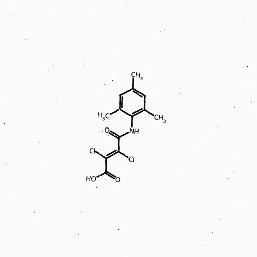 Cc1cc(C)c(NC(=O)C(Cl)=C(Cl)C(=O)O)c(C)c1